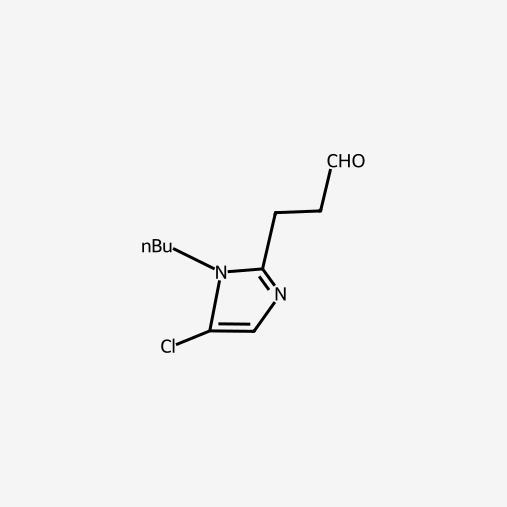 CCCCn1c(Cl)cnc1CCC=O